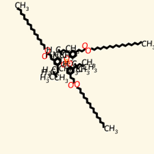 CCCCCCCCCCCCCCCCCCOC(=O)CCc1ccc(OP(Oc2ccc(CCC(=O)OCCCCCCCCCCCCCCCCCC)cc2C(C)(C)CC(C)(C)C)Oc2ccc(CCC(=O)OCCCCCCCCCCCCCCCCCC)cc2C(C)(C)CC(C)(C)C)c(C(C)(C)CC(C)(C)C)c1